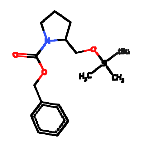 CC(C)(C)[Si](C)(C)OCC1CCCN1C(=O)OCc1ccccc1